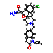 CN1C(=O)Cc2ccc(CN3CCC4(CC3)OC(C(N)=O)c3ccc(Cl)cc34)cc21